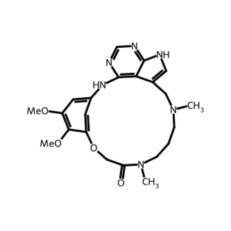 COc1cc2cc(c1OC)OCC(=O)N(C)CCCN(C)Cc1c[nH]c3ncnc(c13)N2